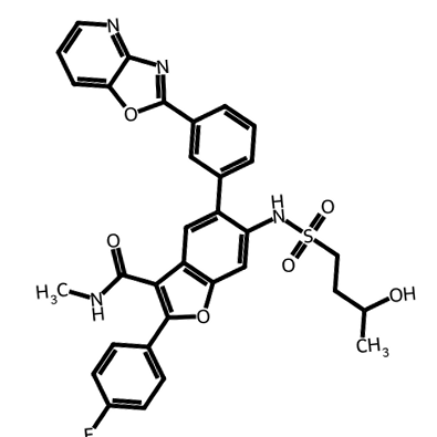 CNC(=O)c1c(-c2ccc(F)cc2)oc2cc(NS(=O)(=O)CCC(C)O)c(-c3cccc(-c4nc5ncccc5o4)c3)cc12